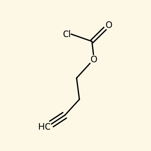 C#CCCOC(=O)Cl